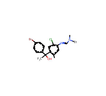 CCN(C)C=Nc1cc(C)c(C(O)(c2ccc(Br)cc2)C(F)(F)F)cc1Cl